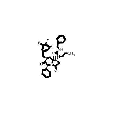 CCCN(C(=O)NCc1ccccc1)N1CC(=O)N2[C@@H](c3ccccc3)C(=O)N(Cc3cc(F)c(F)c(F)c3)C[C@@H]21